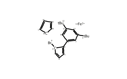 CC(C)(C)c1cc(-c2ccc[c-]2Br)cc(C(C)(C)C)c1.[Fe+2].c1cc[cH-]c1